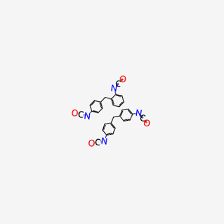 O=C=Nc1ccc(Cc2ccc(N=C=O)cc2)cc1.O=C=Nc1ccc(Cc2ccccc2N=C=O)cc1